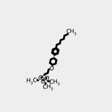 CCCCCCCc1ccc([C@H]2CC[C@H](OCCC[Si](OCC)(OCC)OCC)CC2)cc1